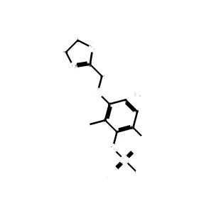 Br.Cc1c(OCC2=NCCN2)ccc(Cl)c1NS(C)(=O)=O